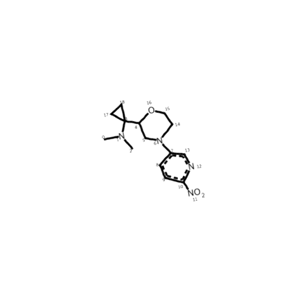 CN(C)C1(C2CN(c3ccc([N+](=O)[O-])nc3)CCO2)CC1